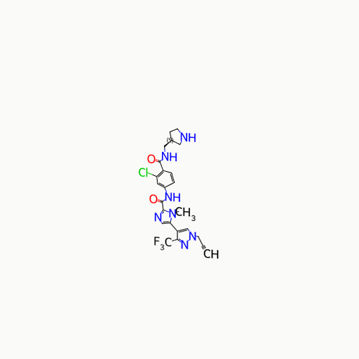 C#CCn1cc(-c2cnc(C(=O)Nc3ccc(C(=O)NC[C@H]4CCNC4)c(Cl)c3)n2C)c(C(F)(F)F)n1